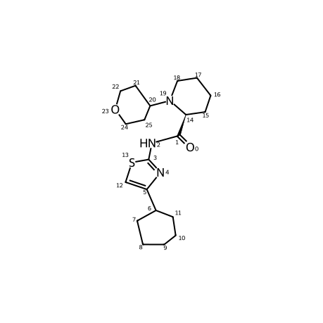 O=C(Nc1nc(C2CCCCC2)cs1)[C@@H]1CCCCN1C1CCOCC1